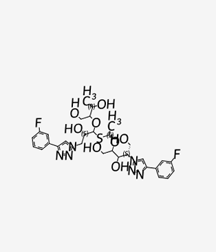 C[C@@H](OC(CO)C(O)[C@H](CO)n1cc(-c2cccc(F)c2)nn1)SC(OC(CO)[C@@H](C)O)[C@@H](O)Cn1cc(-c2cccc(F)c2)nn1